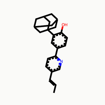 C/C=C/c1ccc(-c2ccc(O)c(C34CC5CC(CC(C5)C3)C4)c2)nc1